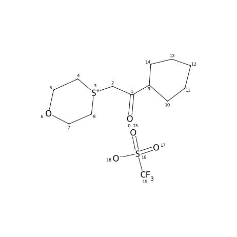 O=C(C[S+]1CCOCC1)C1CCCCC1.O=S(=O)([O-])C(F)(F)F